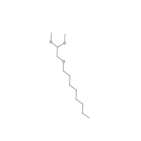 CCCCCCCCOCC(OC)OC